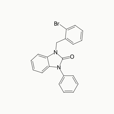 O=c1n(Cc2ccccc2Br)c2ccccc2n1-c1ccccc1